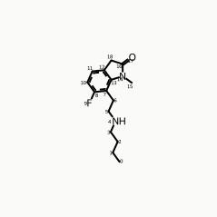 CCCCNCCc1c(F)ccc2c1N(C)C(=O)C2